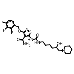 Cc1ccc(COc2nsc(NC(=O)NCCCCC(O)CN3CCCCC3)c2C(N)=O)c(F)c1F